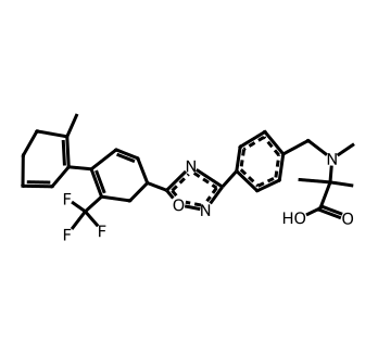 CC1=C(C2=C(C(F)(F)F)CC(c3nc(-c4ccc(CN(C)C(C)(C)C(=O)O)cc4)no3)C=C2)C=CCC1